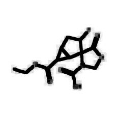 CCOC(=O)C1C2CC(F)C3(C(=O)OCN3C(=O)O)C21